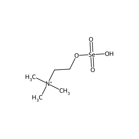 C[N+](C)(C)CCO[Se](=O)(=O)O